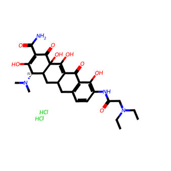 CCN(CC)CC(=O)Nc1ccc2c(c1O)C(=O)C1=C(O)C3(O)C(=O)C(C(N)=O)=C(O)[C@@H](N(C)C)C3CC1C2.Cl.Cl